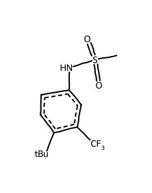 CC(C)(C)c1ccc(NS(C)(=O)=O)cc1C(F)(F)F